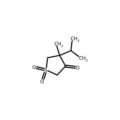 CC(C)C1(C)CS(=O)(=O)CC1=O